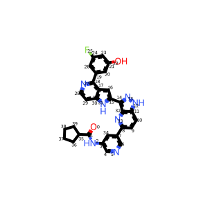 O=C(Nc1cncc(-c2ccc3[nH]nc(-c4cc5c(-c6cc(O)cc(F)c6)nccc5[nH]4)c3n2)c1)C1CCCC1